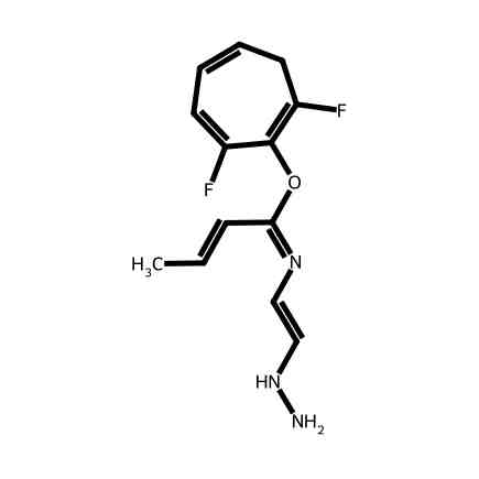 C/C=C/C(=N\C=C\NN)OC1=C(F)CC=CC=C1F